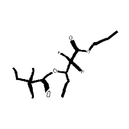 CCCOC(=O)C(F)(F)C(CC)OC(=O)C(C)(C)CC